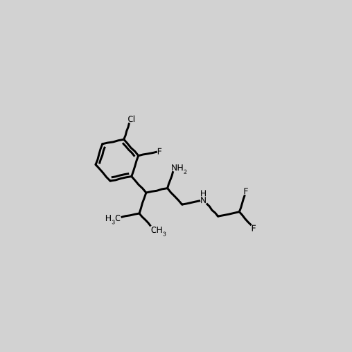 CC(C)C(c1cccc(Cl)c1F)C(N)CNCC(F)F